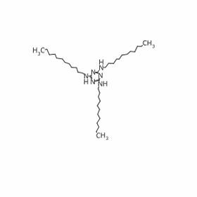 CCCCCCCCCCCCNc1nc(NCCCCCCCCCCCC)nc(NCCCCCCCCCCCC)n1